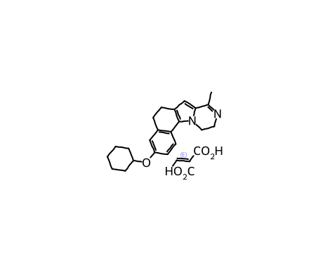 CC1=NCCn2c1cc1c2-c2ccc(OC3CCCCC3)cc2CC1.O=C(O)/C=C/C(=O)O